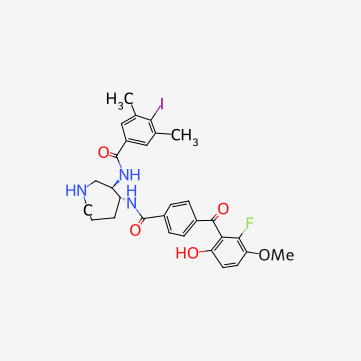 COc1ccc(O)c(C(=O)c2ccc(C(=O)N[C@@H]3CCCNC[C@H]3NC(=O)c3cc(C)c(I)c(C)c3)cc2)c1F